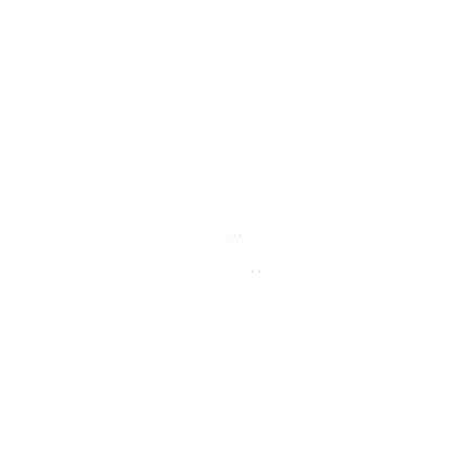 CCC(CC)Nc1nc(Nc2ccc(OS(C)(=O)=O)cc2)ncc1C(N)=O